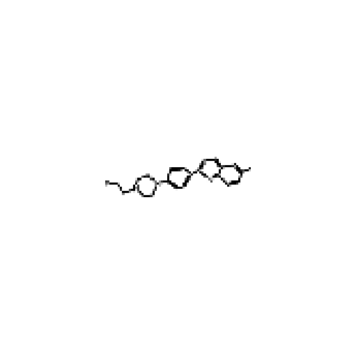 Cc1ccc2nc(-c3ccc(N4CCN(CCF)CC4)cc3)ccc2c1